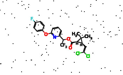 CC1(C)[C@H](C(=O)OC(c2cccc(Oc3ccc(F)cc3)n2)C(F)(F)F)[C@@H]1C=C(Cl)Cl